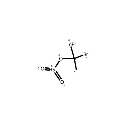 CCCC(C)(Br)O[SH](=O)=O